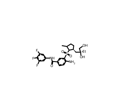 CC[C@@](O)(CO)C[C@@H]1CCC(C)C1S(=O)(=O)c1cc(C(=O)Nc2cc(F)c(F)c(F)c2)ccc1N